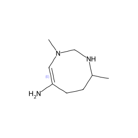 CC1CC/C(N)=C\N(C)CN1